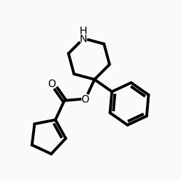 O=C(OC1(c2ccccc2)CCNCC1)C1=CCCC1